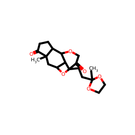 CC1(CCC23OC4CC5(C)C(=O)CCC5C(OCC2=O)C43)OCCO1